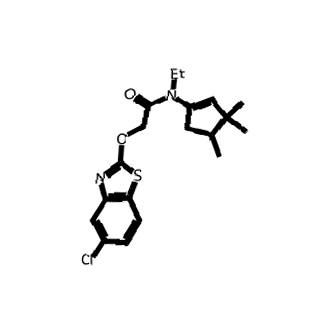 CCN(C(=O)COc1nc2cc(Cl)ccc2s1)C1=CC(C)(C)C(C)C1